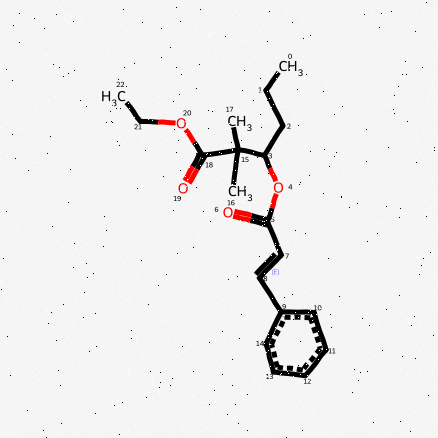 CCCC(OC(=O)/C=C/c1ccccc1)C(C)(C)C(=O)OCC